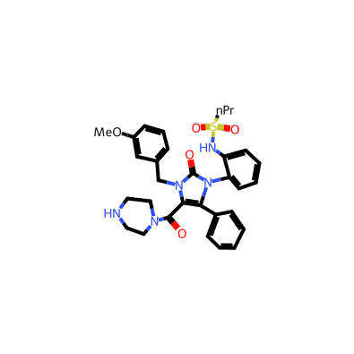 CCCS(=O)(=O)Nc1ccccc1-n1c(-c2ccccc2)c(C(=O)N2CCNCC2)n(Cc2cccc(OC)c2)c1=O